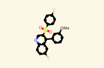 COc1cccc(-c2c(S(=O)(=O)c3ccc(F)cc3)cnc3ccc(F)cc23)c1